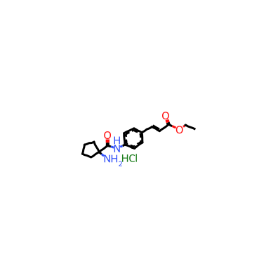 CCOC(=O)C=Cc1ccc(NC(=O)C2(N)CCCC2)cc1.Cl